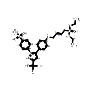 CCOP(=O)(C/C=C/COc1ccc(-c2cc(C(F)(F)F)nn2-c2ccc(S(N)(=O)=O)cc2)cc1)OCC